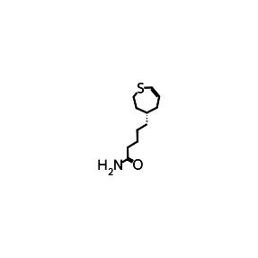 NC(=O)CCCC[C@H]1CC=CSCC1